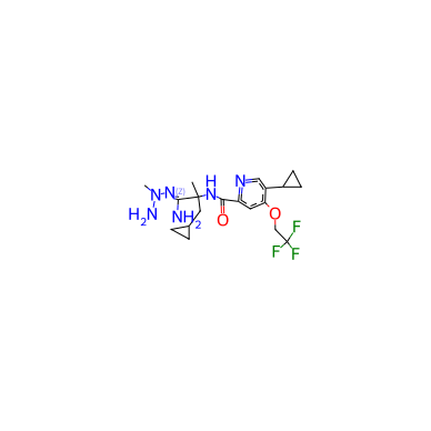 CN(N)/N=C(\N)C(C)(CC1CC1)NC(=O)c1cc(OCC(F)(F)F)c(C2CC2)cn1